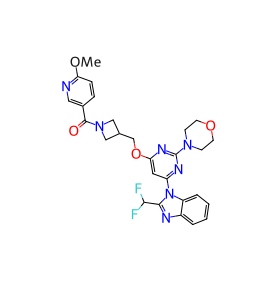 COc1ccc(C(=O)N2CC(COc3cc(-n4c(C(F)F)nc5ccccc54)nc(N4CCOCC4)n3)C2)cn1